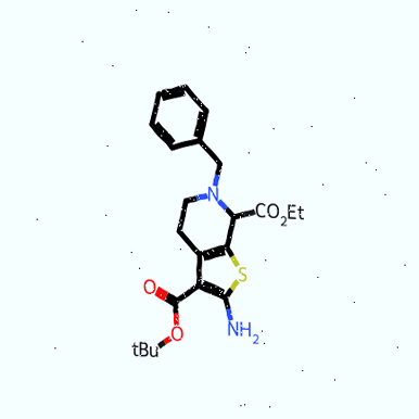 CCOC(=O)C1c2sc(N)c(C(=O)OC(C)(C)C)c2CCN1Cc1ccccc1